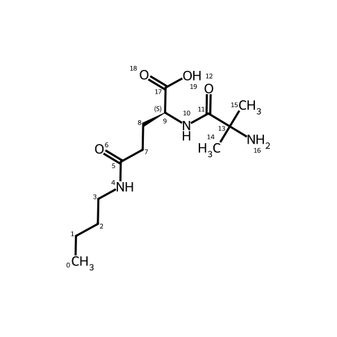 CCCCNC(=O)CC[C@H](NC(=O)C(C)(C)N)C(=O)O